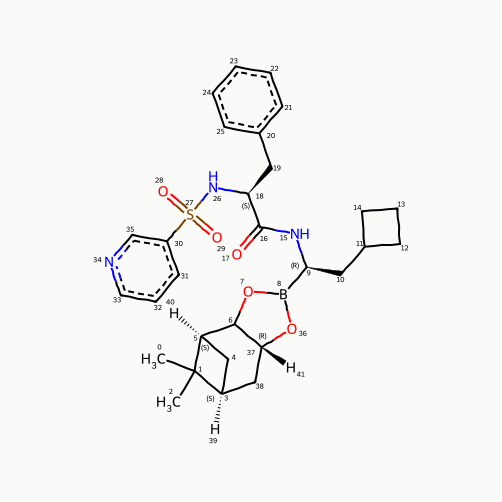 CC1(C)[C@H]2C[C@@H]1C1OB([C@H](CC3CCC3)NC(=O)[C@H](Cc3ccccc3)NS(=O)(=O)c3cccnc3)O[C@@H]1C2